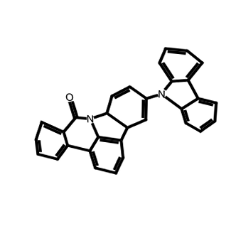 O=c1c2ccccc2c2cccc3c2n1C1C=CC(n2c4ccccc4c4ccccc42)=CC31